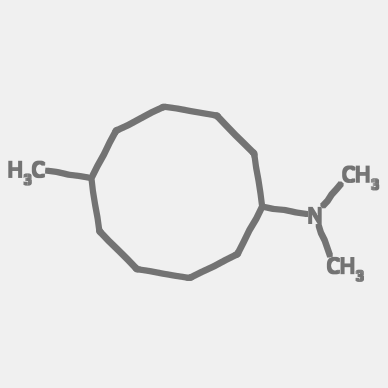 CC1CCCCC(N(C)C)CCCC1